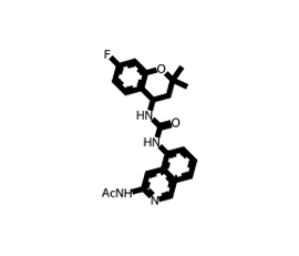 CC(=O)Nc1cc2c(NC(=O)NC3CC(C)(C)Oc4cc(F)ccc43)cccc2cn1